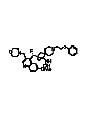 COc1ccc2ncc(CN3CCOCC3)c([C@H](F)CCC3(C(=O)NO)CCN(CCSc4ccccn4)CC3)c2c1